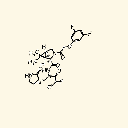 CC1(C)[C@@H]2[C@@H](C(=O)NN(C[C@@H]3CCNC3=O)C(=O)C(F)Cl)N(C(=O)COc3cc(F)cc(F)c3)C[C@@H]21